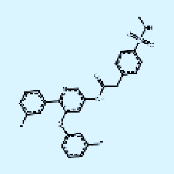 CNS(=O)(=O)c1ccc(CC(=O)Nc2cnc(-c3cccc(F)c3)c(Oc3cccc(F)c3)c2)cc1